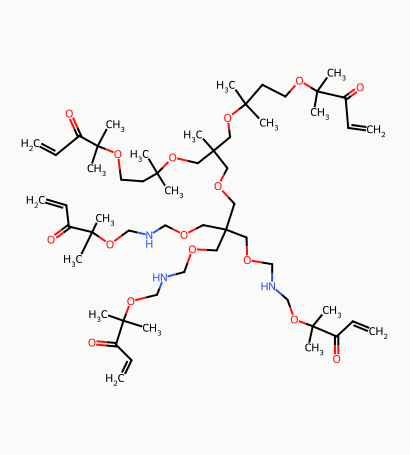 C=CC(=O)C(C)(C)OCCC(C)(C)OCC(C)(COCC(COCNCOC(C)(C)C(=O)C=C)(COCNCOC(C)(C)C(=O)C=C)COCNCOC(C)(C)C(=O)C=C)COC(C)(C)CCOC(C)(C)C(=O)C=C